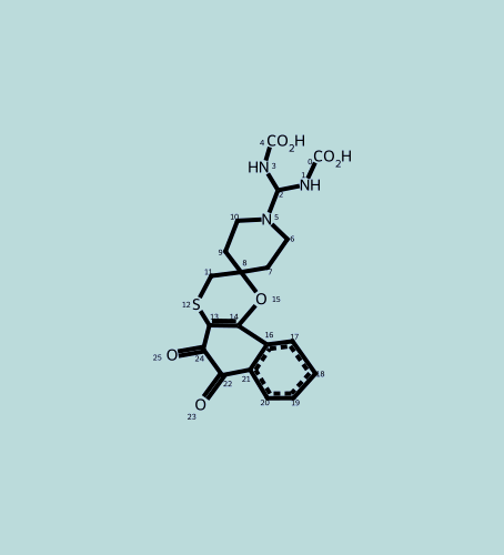 O=C(O)NC(NC(=O)O)N1CCC2(CC1)CSC1=C(O2)c2ccccc2C(=O)C1=O